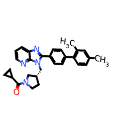 Cc1ccc(-c2ccc(-c3nc4cccnc4n3C[C@@H]3CCN(C(=O)C4CC4)C3)cc2)c(C)c1